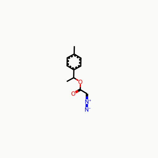 Cc1ccc(C(C)OC(=O)C=[N+]=[N-])cc1